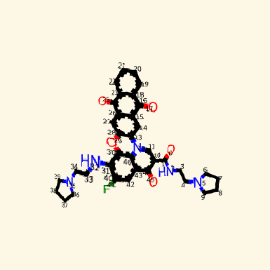 O=C(NCCN1CCCC1)c1cn2c3cc4c(=O)c5ccccc5c(=O)c4cc3oc3c(NCCN4CCCC4)c(F)cc(c1=O)c32